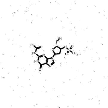 [2H]C[C@H]1OC(n2cnc3c(=O)[nH]c(NC(=O)C(C)C)nc32)CC1OS(C)(=O)=O